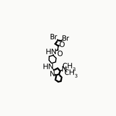 CN(C)c1cc(NC2CCC(NC(=O)c3cc(Br)c(Br)o3)CC2)nc2ccccc12